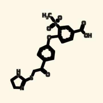 CS(=O)(=O)c1cc(C(=O)O)ccc1Oc1ccc(C(=O)CSC2=NCCN2)cc1